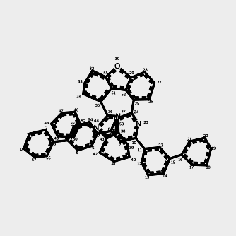 c1ccc(-c2ccc(-c3cc(-c4cccc(-c5ccccc5)c4)nc(-c4cccc5oc6cccc(-c7nc8ccccc8n7-c7ccccc7)c6c45)n3)cc2)cc1